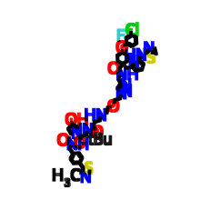 Cc1ncsc1-c1ccc(CNC(=O)[C@@H]2C[C@@H](O)CN2C(=O)[C@@H](NC(=O)CCNCCOCCn2cc(CNC(=O)[C@]3(Cc4cccc(Nc5nccs5)n4)CC[C@@H](Oc4cccc(Cl)c4F)CC3)nn2)C(C)(C)C)cc1